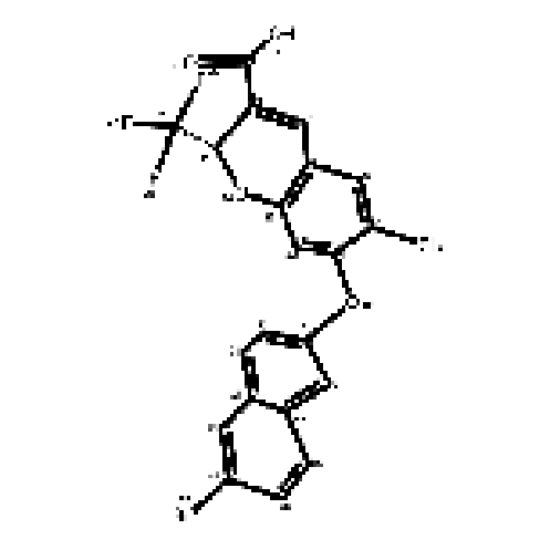 O=C(O)C1=Cc2cc(Cl)c(Oc3ccc4cc(Br)ccc4c3)cc2O[C@@H]1C(F)(F)F